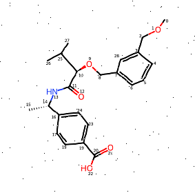 COCc1cccc(CO[C@@H](C(=O)N[C@@H](C)c2ccc(C(=O)O)cc2)C(C)C)c1